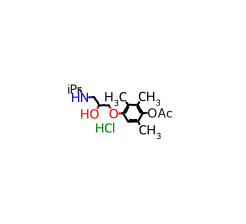 CC(=O)Oc1c(C)cc(OCC(O)CNC(C)C)c(C)c1C.Cl